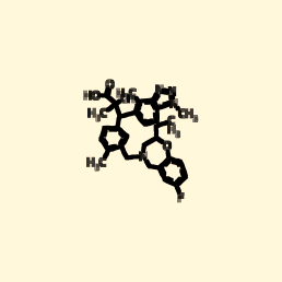 CCC1CN(Cc2cc(C(c3ccc4c(nnn4C)c3C)C(C)(C)C(=O)O)ccc2C)Cc2cc(F)ccc2O1